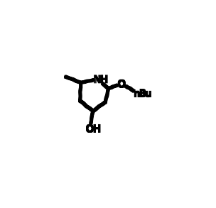 CCCCOC1CC(O)CC(C)N1